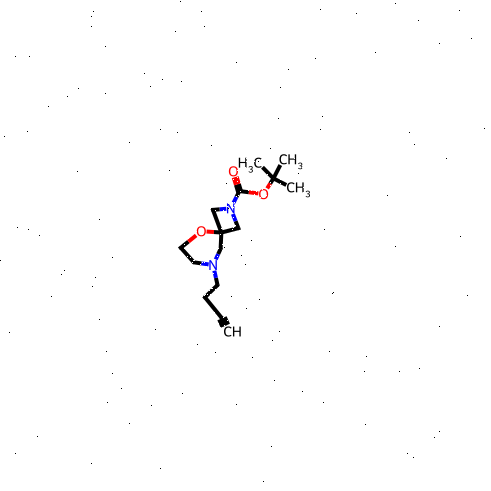 C#CCCN1CCOC2(C1)CN(C(=O)OC(C)(C)C)C2